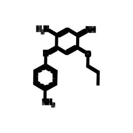 CCCOC1=CC(=Nc2ccc(N)cc2)C(N)=CC1=N